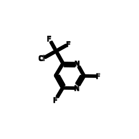 Fc1cc(C(F)(F)Cl)nc(F)n1